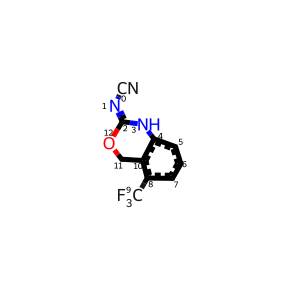 N#C/N=C1\Nc2cccc(C(F)(F)F)c2CO1